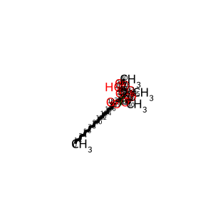 CCCCCCCCCCCCCCCCCC(=O)OCC(F)[C@H]1OC(O)[C@@H](OC(C)=O)[C@@H](OC(C)=O)[C@@H]1OC(C)=O